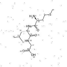 CSCC[C@H](N)C(=O)N[C@@H](CC(C)C)C(=O)NCC(=O)O